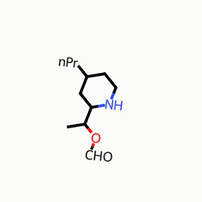 CCCC1CCNC(C(C)OC=O)C1